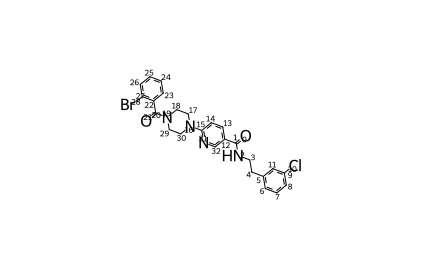 O=C(NCCc1cccc(Cl)c1)c1ccc(N2CCN(C(=O)c3ccccc3Br)CC2)nc1